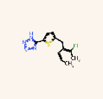 C/C=C\C(Cc1ccc(-c2nnn[nH]2)s1)=C(/C)Cl